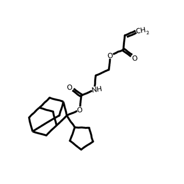 C=CC(=O)OCCNC(=O)OC1(C2CCCC2)C2CC3CC(C2)CC1C3